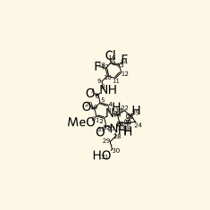 COc1c2n(cc(C(=O)NCc3ccc(F)c(Cl)c3F)c1=O)[C@H]1C[C@@H]3C[C@@H]3[C@@H]1N(CCCO)C2=O